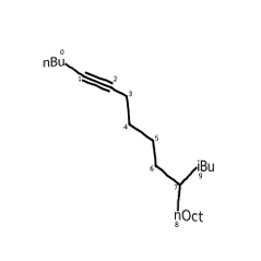 [CH2]CCCC#CCCCCC(CCCCCCC[CH2])C(C)CC